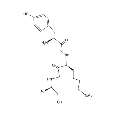 CNCCCC[C@H](NCC(=O)[C@@H](N)Cc1ccc(O)cc1)C(=O)CN[C@@H](CO)C(C)=O